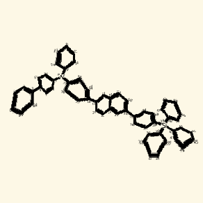 c1ccc(-c2ccc(N(c3ccccc3)c3ccc(-c4ccc5cc(-c6ccc([Si](c7ccccc7)(c7ccccc7)c7ccccc7)cc6)ccc5c4)cc3)cc2)cc1